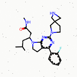 CNC(=O)C[C@H](CC(C)C)N1CCc2c(-c3ccccc3F)nc(N3CCC4(CNC4)C3)nc21